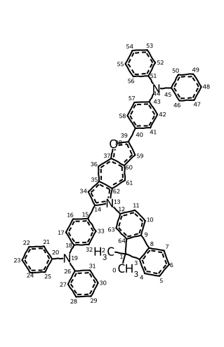 CC1(C)c2ccccc2-c2ccc(-n3c(-c4ccc(N(c5ccccc5)c5ccccc5)cc4)cc4cc5oc(-c6ccc(N(c7ccccc7)c7ccccc7)cc6)cc5cc43)cc21